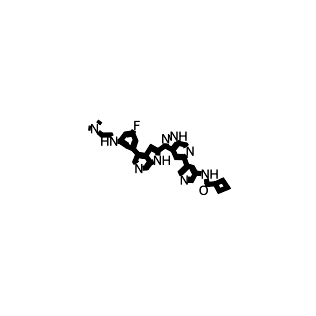 CN(C)CCNc1cc(F)cc(-c2cncc3[nH]c(-c4n[nH]c5cnc(-c6cncc(NC(=O)C7CCC7)c6)cc45)cc23)c1